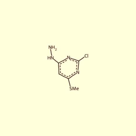 CSc1cc(NN)nc(Cl)n1